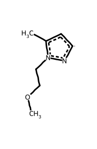 COCCn1n[c]cc1C